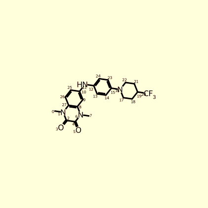 Cn1c(=O)c(=O)n(C)c2cc(Nc3ccc(N4CCC(C(F)(F)F)CC4)cc3)ccc21